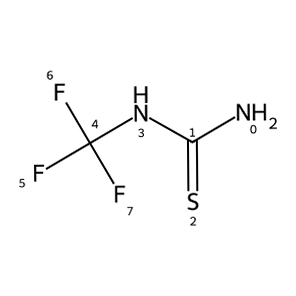 NC(=S)NC(F)(F)F